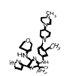 Cc1cc(Nc2nc(NC3CCOCC3)c(-c3cc[nH]n3)nc2C(N)=O)ccc1N1CCC(N2CCN(C)CC2)CC1